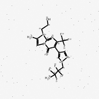 Cc1cn2c(=O)c(-c3cnn(CC(F)(F)C(C)(F)F)c3)c(C(F)(F)F)nc2n1CCO